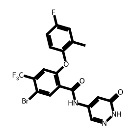 Cc1cc(F)ccc1Oc1cc(C(F)(F)F)c(Br)cc1C(=O)Nc1cn[nH]c(=O)c1